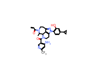 C=CC(=O)N1CCc2nn(-c3ccc(C4CC4)cc3O)c3c2C(C1C)N(C(=O)c1cnc(C(F)(F)F)cc1N)CC3